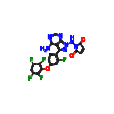 Nc1ncnc2c1c(-c1ccc(Oc3c(F)c(F)cc(F)c3F)cc1F)nn2NN1C(=O)C=CC1=O